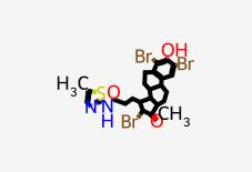 Cc1cnc(NC(=O)CCC2C(Br)C(=O)C3(C)CCC4c5cc(Br)c(O)c(Br)c5CCC4C23)s1